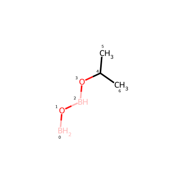 BOBOC(C)C